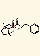 O=C(O)C1[C@@H]2CC[C@H]1CN(C(=O)OCc1ccccc1)C2